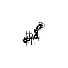 Cc1ccc(F)c2c1NC(C(=O)Nc1cc(F)cc(N3CC[C@H](N4CCS(=O)(=O)CC4)C3)c1)C2